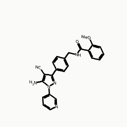 COc1ccccc1C(=O)NCc1ccc(-c2nn(-c3cccnc3)c(N)c2C#N)cc1